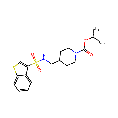 O=C(OC(C(F)(F)F)C(F)(F)F)N1CCC(CNS(=O)(=O)c2csc3ccccc23)CC1